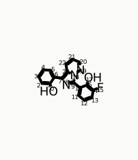 Oc1ccccc1-c1nc(-c2cccc(F)c2O)n2ncccc12